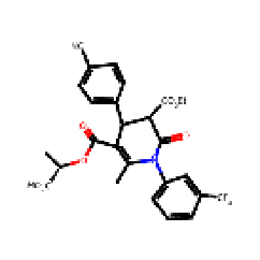 CCOC(=O)C1C(=O)N(c2cccc(C(F)(F)F)c2)C(C)=C(C(=O)O[C@H](C)C(=O)O)C1c1ccc(C#N)cc1